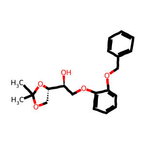 CC1(C)OC[C@@H]([C@@H](O)COc2ccccc2OCc2ccccc2)O1